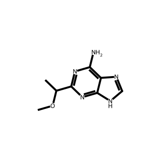 COC(C)c1nc(N)c2nc[nH]c2n1